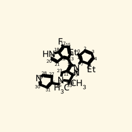 CCc1cccc(CC)c1-n1nc2c(c1-c1ccc(F)c3[nH]ccc13)CN(Cc1ccncc1)C2(C)C